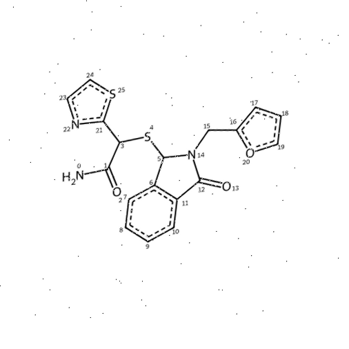 NC(=O)C(SC1c2ccccc2C(=O)N1Cc1ccco1)c1nccs1